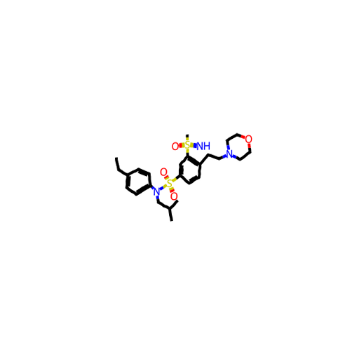 CCc1ccc(N(CC(C)C)S(=O)(=O)c2ccc(CCN3CCOCC3)c(S(C)(=N)=O)c2)cc1